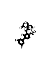 C[C@@H]1C[C@@]2(COCC(=O)N2)[C@H](Cc2cccc(-c3cc(F)cc(F)c3)c2F)N1S(C)(=O)=O